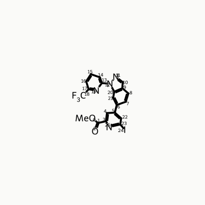 COC(=O)c1cc(-c2ccc3cnn(-c4cccc(C(F)(F)F)n4)c3c2)cc(I)n1